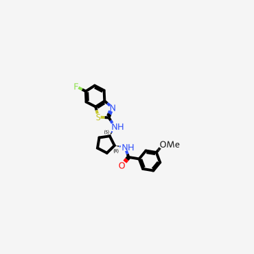 COc1cccc(C(=O)N[C@@H]2CCC[C@@H]2Nc2nc3ccc(F)cc3s2)c1